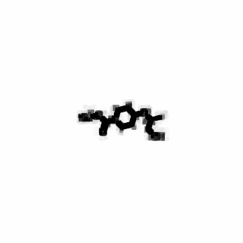 C[C@@H](CO)OC1CCN(C(=O)OC(C)(C)C)CC1